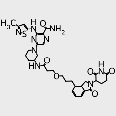 Cc1cc(Nc2nc(N3CCCC(NC(=O)CCOCCCc4cccc5c4CN(C4CCC(=O)NC4=O)C5=O)C3)cnc2C(N)=O)sn1